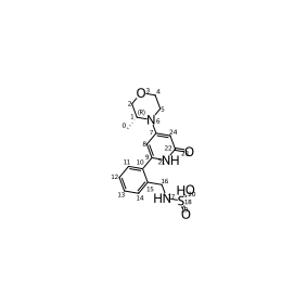 C[C@@H]1COCCN1c1cc(-c2ccccc2CN[SH](=O)=O)[nH]c(=O)c1